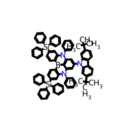 CC(C)(C)c1ccc2c3ccc(C(C)(C)C)cc3n(-c3cc4c5c(c3)N(c3ccccc3)c3cc([Si](c6ccccc6)(c6ccccc6)c6ccccc6)ccc3B5c3ccc([Si](c5ccccc5)(c5ccccc5)c5ccccc5)cc3N4c3ccccc3)c2c1